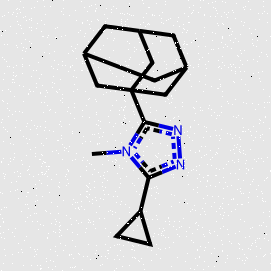 Cn1c(C2CC2)nnc1C12CC3CC(CC(C3)C1)C2